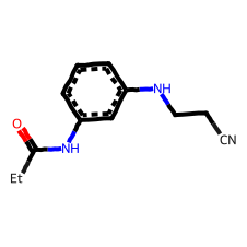 CCC(=O)Nc1cccc(NCCC#N)c1